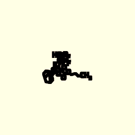 CCCCOC(=O)C(OCC(F)(F)S(=O)(=O)O)(OC(=O)C12CC3CC(CC(C3)C1)C2)C(F)(F)F